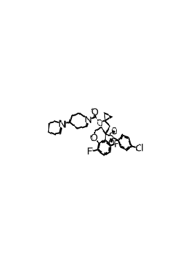 O=C(OC1(CC2(S(=O)(=O)c3ccc(Cl)cc3)CCOc3c(F)ccc(F)c32)CC1)N1CCC(N2CCCCC2)CC1